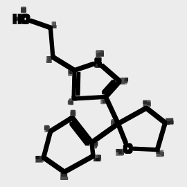 OCCc1cc(C2(C3=CCCCC3)CCCO2)cs1